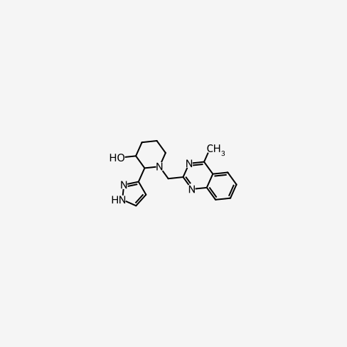 Cc1nc(CN2CCCC(O)C2c2cc[nH]n2)nc2ccccc12